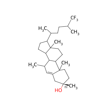 CC1C=C2C[C@@](C)(O)CCC2(C)C2CCC3(C)C(C(C)CCC(C)C(F)(F)F)CCC3C12